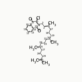 C/C(=C\CC1=C(Cl)C(=O)c2ccccc2C1=O)CCCC(C)CCCC(C)CCCC(C)C